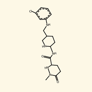 CN1NC(C(=O)NC2CCC(CNc3cccc(Cl)c3)CN2)CCC1=O